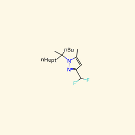 CCCCCCCC(C)(CCCC)n1nc(C(F)F)cc1C